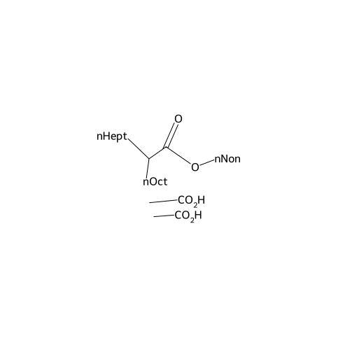 CC(=O)O.CC(=O)O.CCCCCCCCCOC(=O)C(CCCCCCC)CCCCCCCC